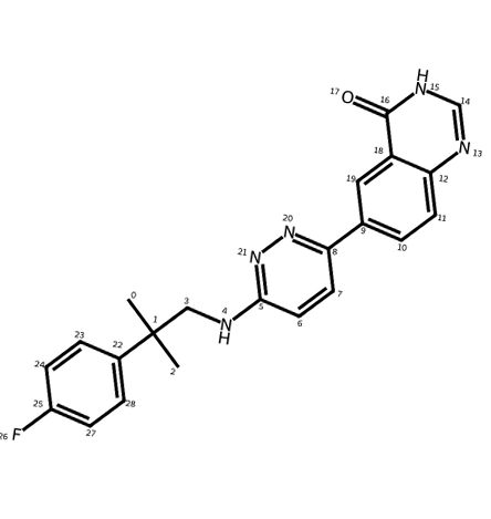 CC(C)(CNc1ccc(-c2ccc3nc[nH]c(=O)c3c2)nn1)c1ccc(F)cc1